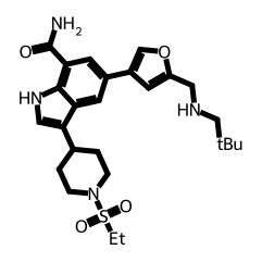 CCS(=O)(=O)N1CCC(c2c[nH]c3c(C(N)=O)cc(-c4coc(CNCC(C)(C)C)c4)cc23)CC1